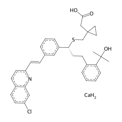 CC(C)(O)c1ccccc1CC[C@@H](SCC1(CC(=O)O)CC1)c1cccc(C=Cc2ccc3ccc(Cl)cc3n2)c1.[CaH2]